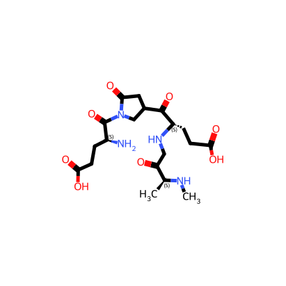 CN[C@@H](C)C(=O)CN[C@@H](CCC(=O)O)C(=O)C1CC(=O)N(C(=O)[C@@H](N)CCC(=O)O)C1